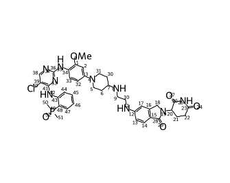 COc1cc(N2CCC(NCCNc3ccc4c(c3)CN(C3CCC(=O)NC3=O)C4=O)CC2)ccc1Nc1ncc(Cl)c(Nc2ccccc2P(C)(C)=O)n1